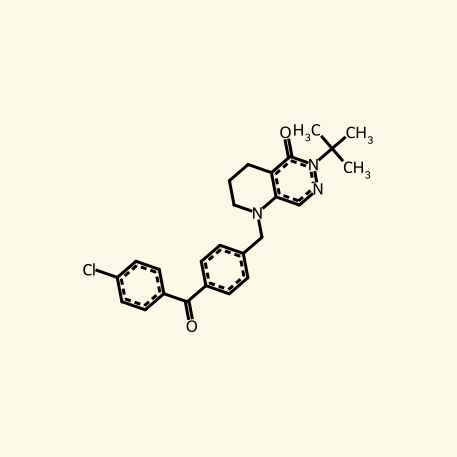 CC(C)(C)n1ncc2c(c1=O)CCCN2Cc1ccc(C(=O)c2ccc(Cl)cc2)cc1